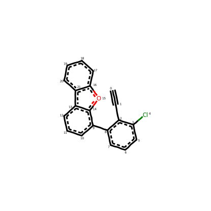 C#Cc1c(Cl)cccc1-c1cccc2c1oc1ccccc12